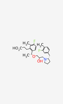 Cc1ccc(C[C@@H]2CCCN2C[C@@H](O)CO[C@H](C)c2ccc(F)c(C)c2CCC(=O)O)cc1F